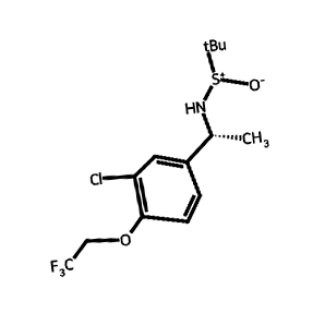 C[C@@H](N[S+]([O-])C(C)(C)C)c1ccc(OCC(F)(F)F)c(Cl)c1